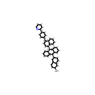 CCc1ccc2cc(-c3c4ccccc4c(-c4ccc(-c5ccc(-c6ccccn6)cc5)c5ccccc45)c4ccccc34)ccc2c1